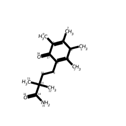 CC1=C(C)C(C)C(C)=C(CCC(C)(C)C(N)=O)C1=O